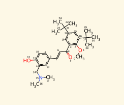 COc1c(C(=O)/C=C/c2ccc(O)c(CN(C)C)c2)cc(C(C)(C)C)cc1C(C)(C)C